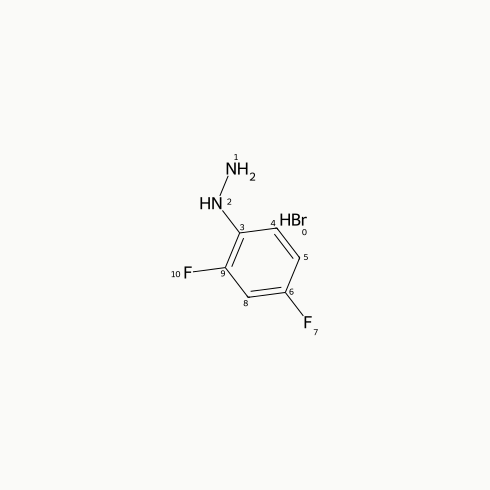 Br.NNc1ccc(F)cc1F